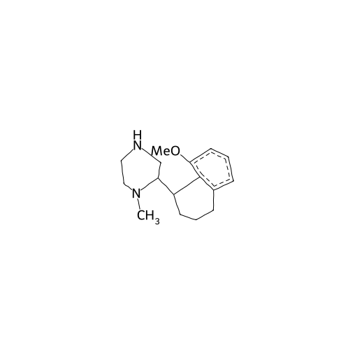 COc1cccc2c1C(C1CNCCN1C)CCC2